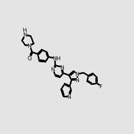 O=C(c1ccc(Nc2nccc(-c3cn(Cc4ccc(F)cc4)nc3-c3cccnc3)n2)cc1)N1CCNCC1